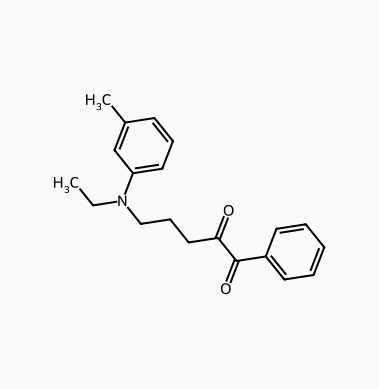 CCN(CCCC(=O)C(=O)c1ccccc1)c1cccc(C)c1